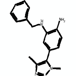 Cc1nnn(C)c1-c1ccc(N)c(NCc2ccccc2)c1